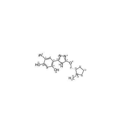 CC(C)c1cc(-c2nnc(OC[C@@H]3CCCN3C)[nH]2)c(O)cc1O